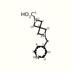 O=C(O)N1CC2(CN(Cc3ccncc3)C2)C1